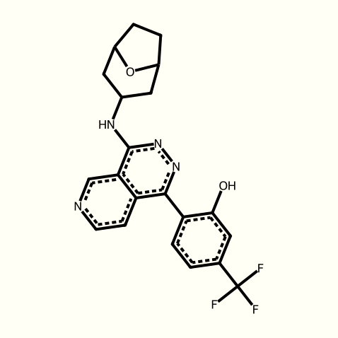 Oc1cc(C(F)(F)F)ccc1-c1nnc(NC2CC3CCC(C2)O3)c2cnccc12